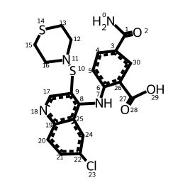 NC(=O)c1ccc(Nc2c(SN3CCSCC3)cnc3ccc(Cl)cc23)c(C(=O)O)c1